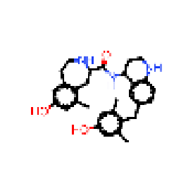 Cc1cc(O)cc(C)c1Cc1ccc2c(c1)C(NC(=O)C1Cc3c(C)cc(O)cc3CCN1)CCN2